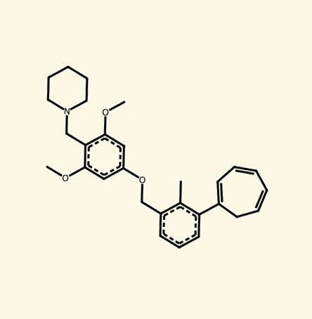 COc1cc(OCc2cccc(C3=CC=CC=CC3)c2C)cc(OC)c1CN1CCCCC1